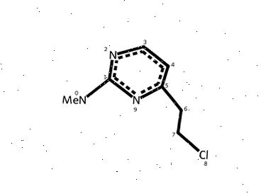 CNc1nccc(CCCl)n1